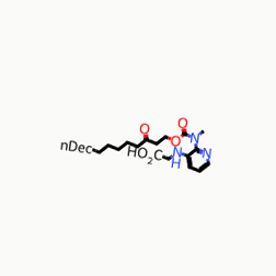 CCCCCCCCCCCCCCCC(=O)CCOC(=O)N(C)c1ncccc1NCC(=O)O